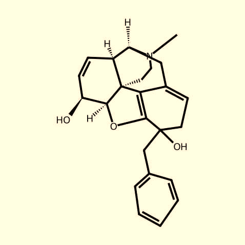 CN1CC[C@]23C4=C5O[C@H]2[C@@H](O)C=C[C@H]3[C@H]1CC4=CCC5(O)Cc1ccccc1